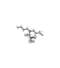 CCCCC(CCSC)NC(=O)O